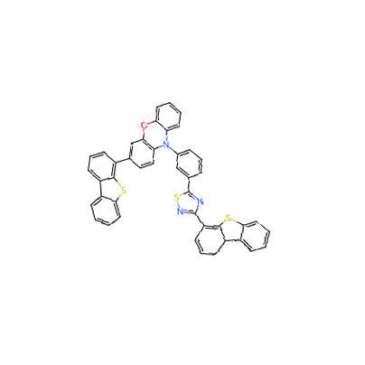 C1=CC(c2nsc(-c3cccc(N4c5ccccc5Oc5cc(-c6cccc7c6sc6ccccc67)ccc54)c3)n2)=C2Sc3ccccc3C2C1